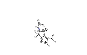 CC(C)c1c2c(nn1C)C(C)(C)/C(=C/N(C)C)C2=O